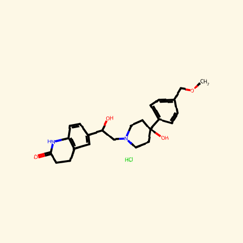 COCc1ccc(C2(O)CCN(CC(O)c3ccc4c(c3)CCC(=O)N4)CC2)cc1.Cl